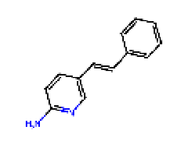 Nc1ccc(/C=C/c2ccccc2)cn1